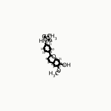 COc1cc(/C=C\C(=O)c2ccc(NS(C)(=O)=O)cc2)ccc1O